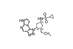 CC[C@@H]1C[C@H](NS(=O)(=O)C2CC2)C[C@@H]1n1nnc2cnc3[nH]ccc3c21